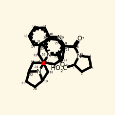 O=C(O)C1CCCN1C(=O)c1nc2ccccc2n(C2CC3CCC(C2)N3C2CCCCCCC2)c1=O